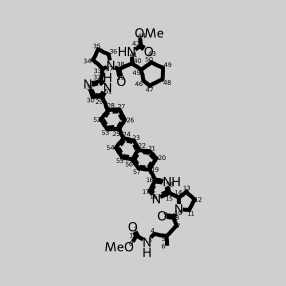 COC(=O)NCC(C)CC(=O)N1CCCC1c1ncc(-c2ccc3cc(-c4ccc(-c5cnc(C6CCCN6C(=O)C(NC(=O)OC)C6CCCCC6)[nH]5)cc4)ccc3c2)[nH]1